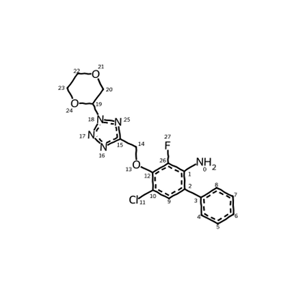 Nc1c(-c2ccccc2)cc(Cl)c(OCc2nnn(C3COCCO3)n2)c1F